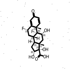 C[C@]12C=CC(=O)C=C1[C@@H](F)C[C@H]1[C@@H]3C[C@@H](O)[C@](O)(C(=O)O)[C@@]3(C)C[C@@H](O)[C@@]12F